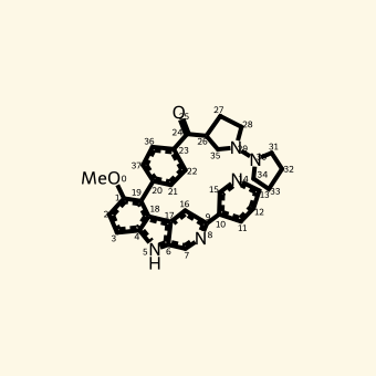 COc1ccc2[nH]c3cnc(-c4cccnc4)cc3c2c1-c1ccc(C(=O)C2CCN(N3CCCC3)C2)cc1